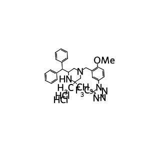 COc1ccc(-n2nnnc2C(F)(F)F)cc1CN1CC(C(c2ccccc2)c2ccccc2)NC(C)(C)C1.Cl.Cl